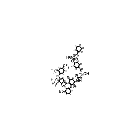 CCc1cccc(CC)c1-n1nc2c(c1-c1cc(F)c(NC(=O)NC(O)OCc3ccc(OP(=O)(O)OCc4ccccc4)cc3)cc1F)CN(Cc1ccc(C(F)(F)F)cc1C(F)(F)F)C2(C)C